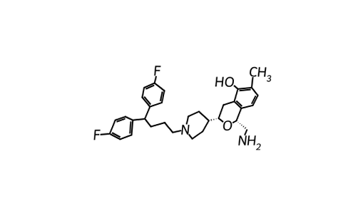 Cc1ccc2c(c1O)C[C@@H](C1CCN(CCCC(c3ccc(F)cc3)c3ccc(F)cc3)CC1)O[C@H]2CN